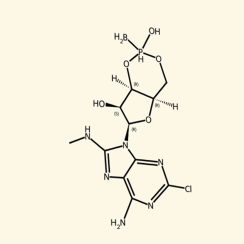 B[PH]1(O)OC[C@H]2O[C@@H](n3c(NC)nc4c(N)nc(Cl)nc43)[C@@H](O)[C@H]2O1